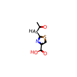 CC(=O)[AsH]c1nc(C(=O)O)cs1